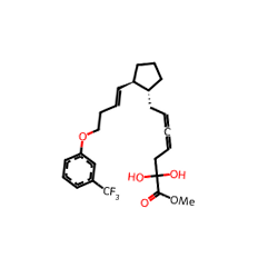 COC(=O)C(O)(O)CC=C=CC[C@H]1CCC[C@@H]1/C=C/CCOc1cccc(C(F)(F)F)c1